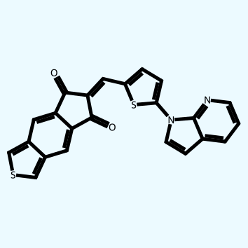 O=C1C(=Cc2ccc(-n3ccc4cccnc43)s2)C(=O)c2cc3cscc3cc21